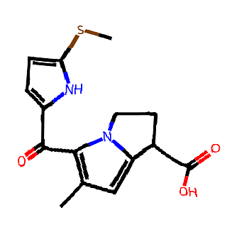 CSc1ccc(C(=O)c2c(C)cc3n2CCC3C(=O)O)[nH]1